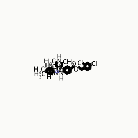 C[C@@H]1[C@@H](/N=C(/Nc2ccc(C(=O)OCCc3ccc(Cl)cc3Cl)cc2)N2C[C@@H](C)N[C@@H](C)C2)C[C@H]2C[C@@H]1C2(C)C